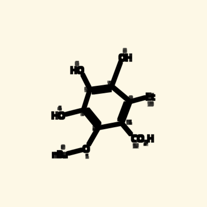 CCCCOc1c(O)c(O)c(O)c(CC)c1C(=O)O